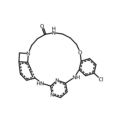 O=C1CCN2Cc3ccc(cc32)Nc2nccc(n2)Nc2cc(Cl)ccc2OCCCN1